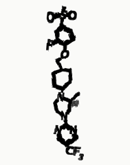 C[C@H]1CN(c2ncc(C(F)(F)F)cn2)CCN1[C@H]1CC[C@H](COc2ccc(S(C)(=O)=O)cc2F)CC1